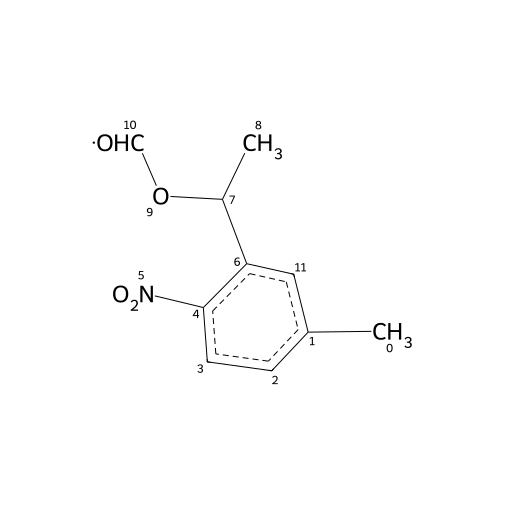 Cc1ccc([N+](=O)[O-])c(C(C)O[C]=O)c1